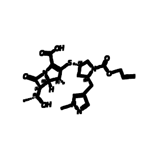 C=CCOC(=O)N1C[C@@H](SC2=C(C(=O)O)N3C(=O)[C@H]([C@@H](C)O)[C@H]3[C@H]2C)C[C@@H]1Cc1cnn(C)c1